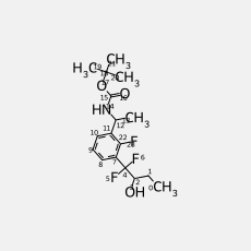 CCC(O)C(F)(F)c1cccc(C(C)NC(=O)OC(C)(C)C)c1F